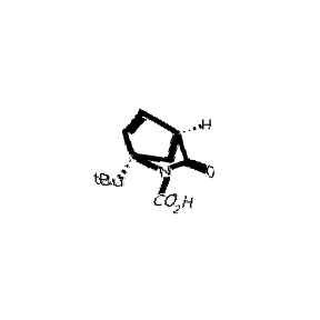 CC(C)(C)[C@]12C=C[C@H](C1)C(=O)N2C(=O)O